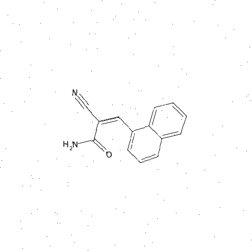 N#CC(=Cc1cccc2ccccc12)C(N)=O